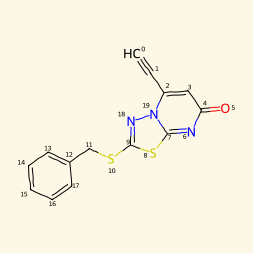 C#Cc1cc(=O)nc2sc(SCc3ccccc3)nn12